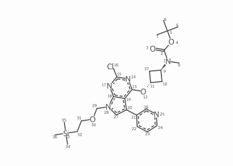 CN(C(=O)OC(C)(C)C)[C@H]1C[C@H](Oc2nc(Cl)nc3c2c(-c2cccnc2)cn3COCC[Si](C)(C)C)C1